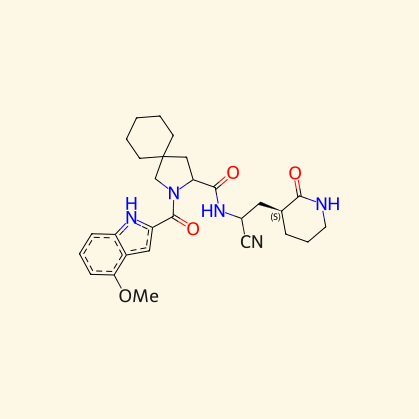 COc1cccc2[nH]c(C(=O)N3CC4(CCCCC4)CC3C(=O)NC(C#N)C[C@@H]3CCCNC3=O)cc12